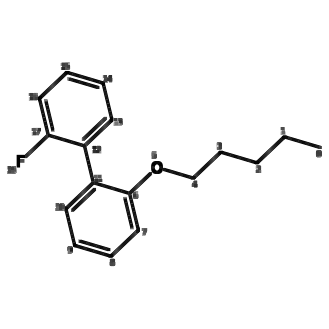 CCCCCOc1ccccc1-c1ccccc1F